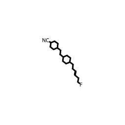 N#CC1CCC(CCC2CCC(CCC=CCCF)CC2)CC1